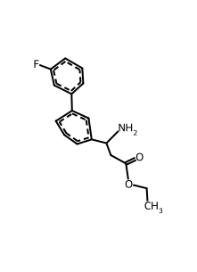 CCOC(=O)CC(N)c1cccc(-c2cccc(F)c2)c1